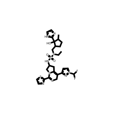 CCN(CC1CCC(C)C1(O)c1ncc[nH]1)S(=O)(=O)NC1CC2=C(c3ccn(C(F)F)n3)CN=C(c3nccs3)N2C1